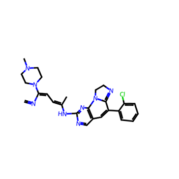 C=N/C(=C\C=C(/C)Nc1ncc2c(n1)N1CCN=C1C(c1ccccc1Cl)=C2)N1CCN(C)CC1